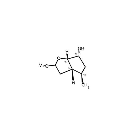 COC1C[C@@H]2[C@H](O1)[C@H](O)C[C@H]2C